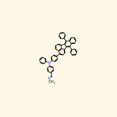 C/N=C/c1ccc(N(c2ccccc2)c2ccc(-c3ccc4c5c(cccc35)-c3c-4c(-c4ccccc4)c4ccccc4c3-c3ccccc3)cc2)cc1